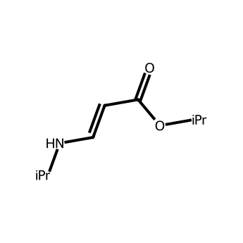 CC(C)NC=CC(=O)OC(C)C